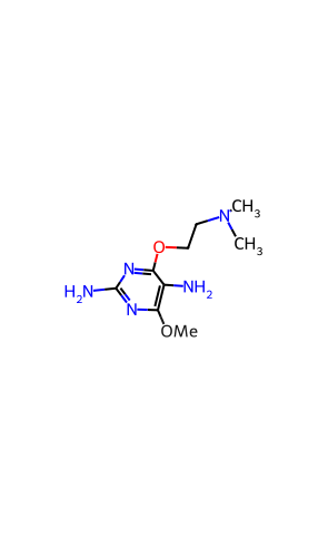 COc1nc(N)nc(OCCN(C)C)c1N